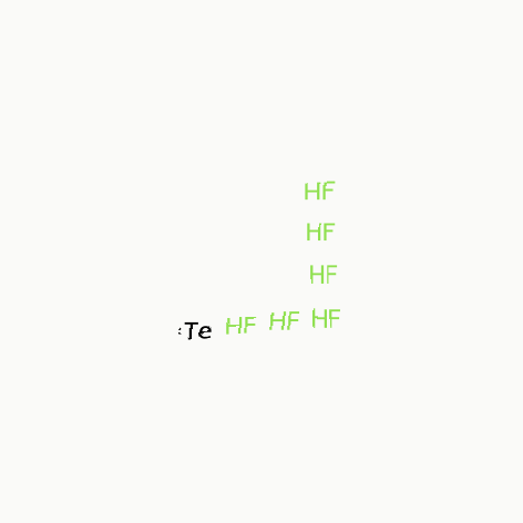 F.F.F.F.F.F.[Te]